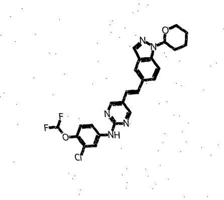 FC(F)Oc1ccc(Nc2ncc(C=Cc3ccc4c(cnn4C4CCCCO4)c3)cn2)cc1Cl